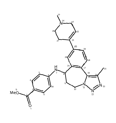 COC(=O)c1ccc(NC2CCn3nnc(C)c3-c3ccc(C4=CCN(C)CC4)cc32)cc1